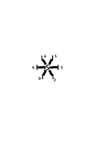 IS(I)(I)(I)(I)I